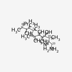 CC(C)C(C)C(C)C(C)C(C)C(C)C(C)C(C)C(C)C(O)C(C)C(N)CN